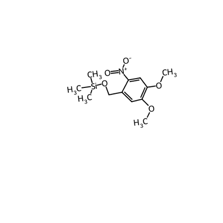 COc1cc(CO[Si](C)(C)C)c([N+](=O)[O-])cc1OC